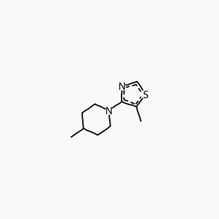 Cc1scnc1N1CCC(C)CC1